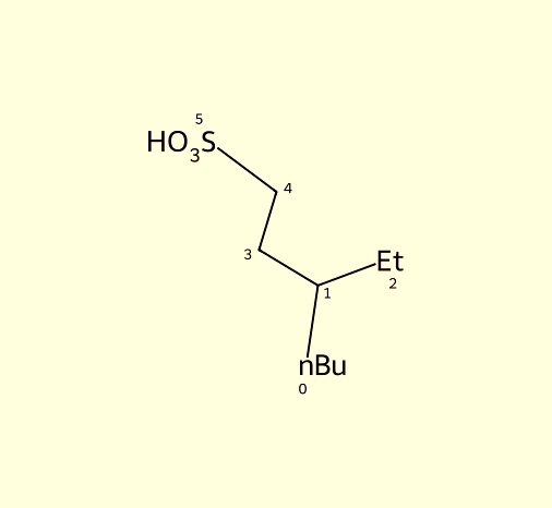 CCCCC(CC)CCS(=O)(=O)O